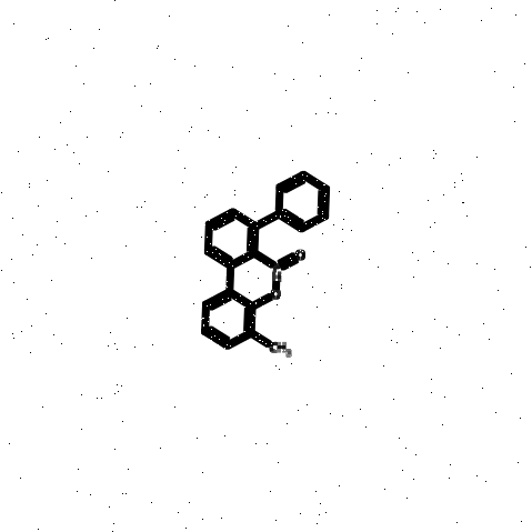 Cc1cccc2c1O[PH](=O)c1c(-c3ccccc3)cccc1-2